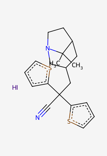 CC1(C)C2CCN1CC(CC(C#N)(c1cccs1)c1cccs1)C2.I